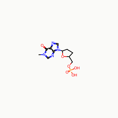 Cn1cnc2c(ncn2C2CCC(COP(=O)(O)O)O2)c1=O